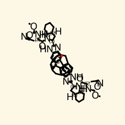 COC(=O)N[C@@H](CC#N)C(=O)N1[C@H](c2nc3cc(-c4cc5ccc4CCc4ccc(c(-c6ccc7[nH]c([C@@H]8C[C@@H]9CCCC[C@@H]9N8C(=O)[C@H](CC#N)NC(=O)OC)nc7c6)c4)CC5)ccc3[nH]2)C[C@@H]2CCCC[C@@H]21